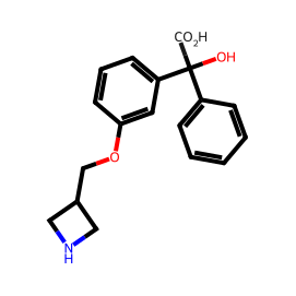 O=C(O)C(O)(c1ccccc1)c1cccc(OCC2CNC2)c1